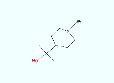 CC(C)N1CCC(C(C)(C)O)CC1